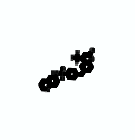 O=c1cc(C(F)(F)F)c2cc(Cc3ccc(S(=O)(=O)Nc4ccc5ncccc5c4)cc3)ccc2o1